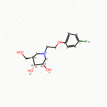 OC[C@H]1CN(CCOc2ccc(F)cc2)C[C@@H](O)[C@@H]1O